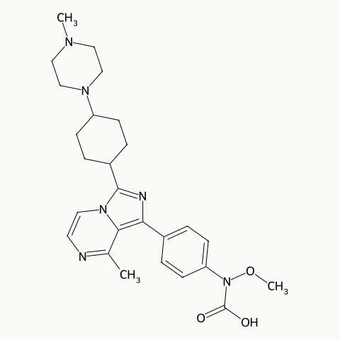 CON(C(=O)O)c1ccc(-c2nc(C3CCC(N4CCN(C)CC4)CC3)n3ccnc(C)c23)cc1